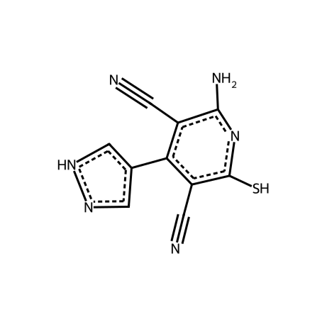 N#Cc1c(N)nc(S)c(C#N)c1-c1cn[nH]c1